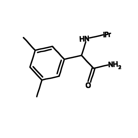 Cc1cc(C)cc(C(NC(C)C)C(N)=O)c1